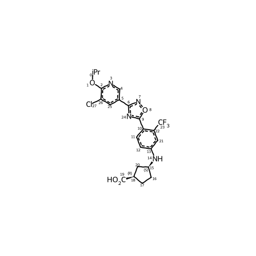 CC(C)Oc1ncc(-c2noc(-c3ccc(N[C@H]4CC[C@@H](C(=O)O)C4)cc3C(F)(F)F)n2)cc1Cl